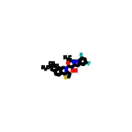 CC(=O)NC(Cc1cc(F)cc(F)c1)C(O)CNCc1cc(CC(C)(C)C)ccc1-c1cccs1